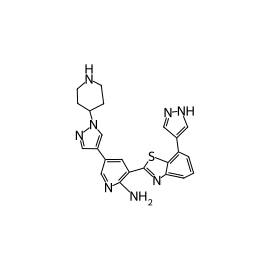 Nc1ncc(-c2cnn(C3CCNCC3)c2)cc1-c1nc2cccc(-c3cn[nH]c3)c2s1